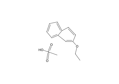 CCOc1ccc2ccccc2c1.CS(=O)(=O)O